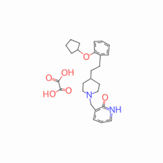 O=C(O)C(=O)O.O=c1[nH]cccc1CN1CCC(CCc2ccccc2OC2CCCC2)CC1